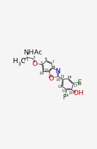 CC(=O)N[C@@H](C)COc1ccc2nc(-c3cc(F)c(O)c(F)c3)oc2c1